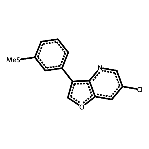 CSc1cccc(-c2coc3cc(Cl)cnc23)c1